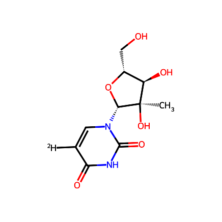 [2H]c1cn([C@@H]2O[C@H](CO)[C@@H](O)[C@@]2(C)O)c(=O)[nH]c1=O